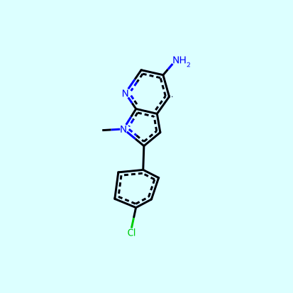 Cn1c(-c2ccc(Cl)cc2)cc2[c]c(N)cnc21